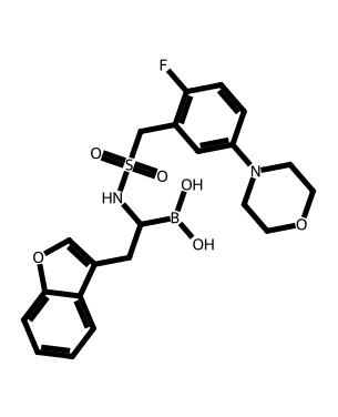 O=S(=O)(Cc1cc(N2CCOCC2)ccc1F)NC(Cc1coc2ccccc12)B(O)O